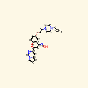 CCN1CCN(CCOc2ccc3oc(-c4cc5cccn5cn4)cc(=NO)c3c2)CC1